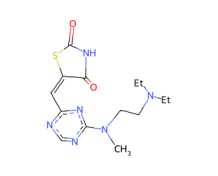 CCN(CC)CCN(C)c1ncnc(C=C2SC(=O)NC2=O)n1